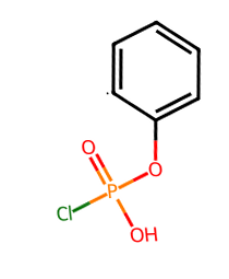 O=P(O)(Cl)Oc1[c]cccc1